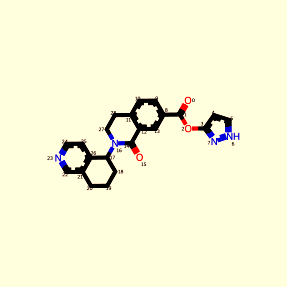 O=C(Oc1cc[nH]n1)c1ccc2c(c1)C(=O)N(C1CCCc3cnccc31)CC2